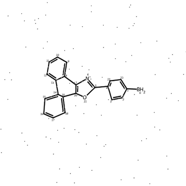 Bc1ccc(-c2nc3c4ccccc4c4ccccc4c3o2)cc1